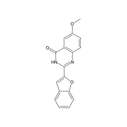 COc1ccc2nc(-c3cc4ccccc4o3)[nH]c(=O)c2c1